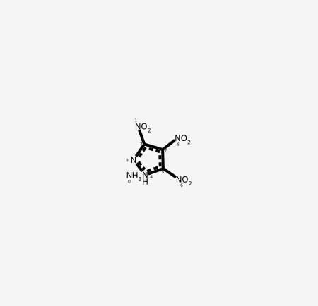 N.O=[N+]([O-])c1n[nH]c([N+](=O)[O-])c1[N+](=O)[O-]